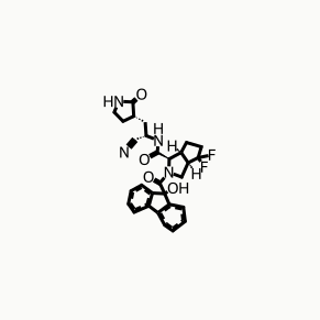 N#C[C@H](C[C@@H]1CCNC1=O)NC(=O)[C@H]1[C@H]2CCC(F)(F)[C@H]2CN1C(=O)C1(O)c2ccccc2-c2ccccc21